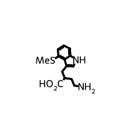 CSc1cccc2[nH]cc(CC(CCN)C(=O)O)c12